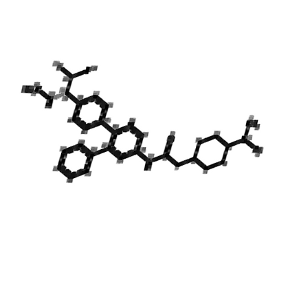 CC(=O)N(C)C1CCC(CC(=O)Nc2cnc(-c3ccc([C@H](NC(=O)O)C(F)F)cc3)c(-c3ccccc3)c2)CC1